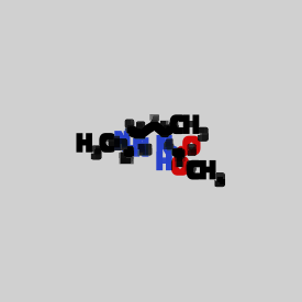 COC(=O)NC(C)Cc1cn(C)cn1